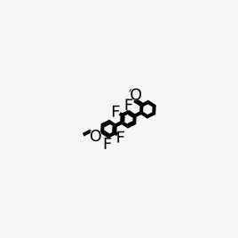 CCOc1ccc(-c2ccc(C3CCCCC3=COC)c(F)c2F)c(F)c1F